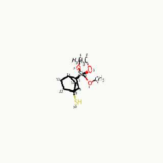 CO[Si](OC)(OC)C1CC2(S)CCC1C2